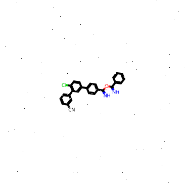 N#Cc1cccc(-c2cc(-c3ccc(C(=N)OC(=N)c4ccccc4)cc3)ccc2Cl)c1